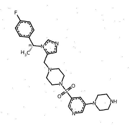 C[C@H](c1ccc(F)cc1)n1cncc1CN1CCN(S(=O)(=O)c2cncc(N3CCNCC3)c2)CC1